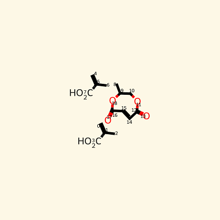 C=C(C)C(=O)O.C=C(C)C(=O)O.CC1COC(=O)/C=C/C(=O)O1